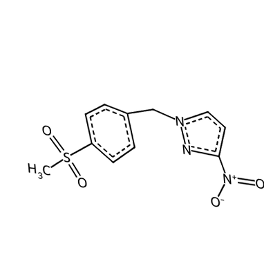 CS(=O)(=O)c1ccc(Cn2ccc([N+](=O)[O-])n2)cc1